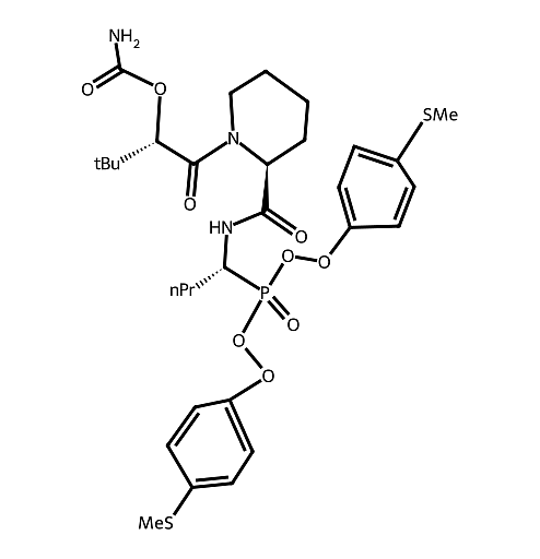 CCC[C@H](NC(=O)[C@@H]1CCCCN1C(=O)[C@@H](OC(N)=O)C(C)(C)C)P(=O)(OOc1ccc(SC)cc1)OOc1ccc(SC)cc1